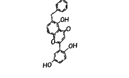 O=c1cc(-c2cc(O)ccc2O)oc2ccc(Cc3ccccc3)c(O)c12